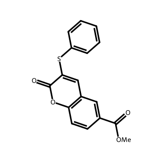 COC(=O)c1ccc2oc(=O)c(Sc3ccccc3)cc2c1